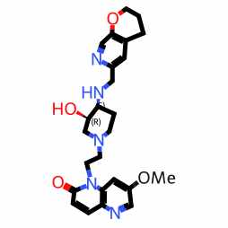 COc1cnc2ccc(=O)n(CCN3CC[C@H](NCc4cc5c(cn4)OCCC5)[C@H](O)C3)c2c1